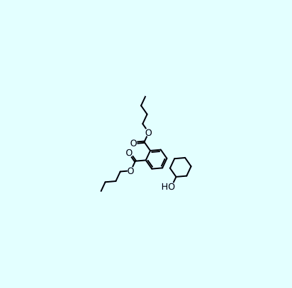 CCCCOC(=O)c1ccccc1C(=O)OCCCC.OC1CCCCC1